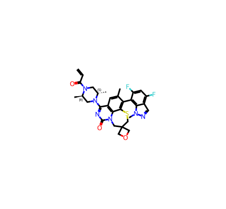 C=CC(=O)N1C[C@H](C)N(c2nc(=O)n3c4c(c(-c5c(F)cc(F)c6cnn(C)c56)c(C)cc24)SCC2(COC2)C3)C[C@H]1C